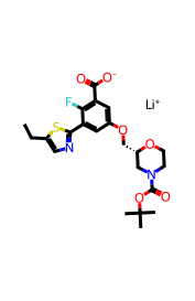 CCc1cnc(-c2cc(OC[C@H]3CN(C(=O)OC(C)(C)C)CCO3)cc(C(=O)[O-])c2F)s1.[Li+]